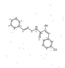 CC(=O)/C(=C/c1cccc(Cl)c1)C(=O)NC/C=C/c1ccccc1